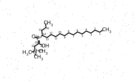 CCCCCCCCCCCCCCC(CCC)/[P+]([O-])=C(\O)C[N+](C)(C)C